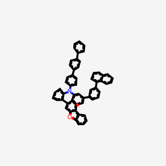 c1ccc(-c2ccc(-c3ccc(N(c4cccc(-c5cccc(-c6cccc7ccccc67)c5)c4)c4ccccc4-c4ccc5c(c4)oc4ccccc45)cc3)cc2)cc1